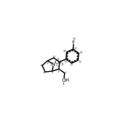 CN1C2CCC1C(CO)C(c1cccc(F)c1)C2